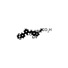 Cc1c(-c2ccc3c(c2)OCCO3)cccc1-c1cc2cc3c(c(C#N)c2o1)CCC3NCCC(=O)O